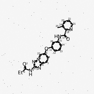 CCC(=O)Nc1nc2ccc(Oc3cccc(NC(=O)c4ncccc4C)c3)cn2n1